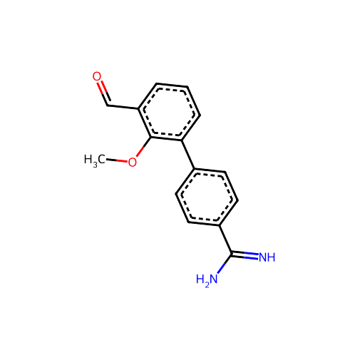 COc1c(C=O)cccc1-c1ccc(C(=N)N)cc1